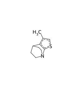 Cc1csc2c1C1CCN2CC1